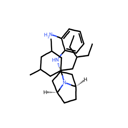 CCC(CC)CC1(N2[C@@H]3CC[C@H]2C[C@H](Nc2ccccc2N)C3)CC(C)CC(C)C1